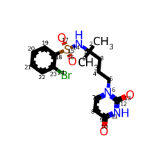 CC(C)(CCCn1ccc(=O)[nH]c1=O)NS(=O)(=O)c1ccccc1Br